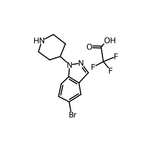 Brc1ccc2c(cnn2C2CCNCC2)c1.O=C(O)C(F)(F)F